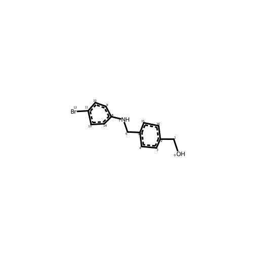 OCc1ccc(CNc2ccc(Br)cc2)cc1